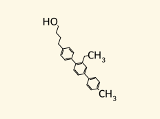 CCc1cc(-c2ccc(C)cc2)ccc1-c1ccc(CCCCO)cc1